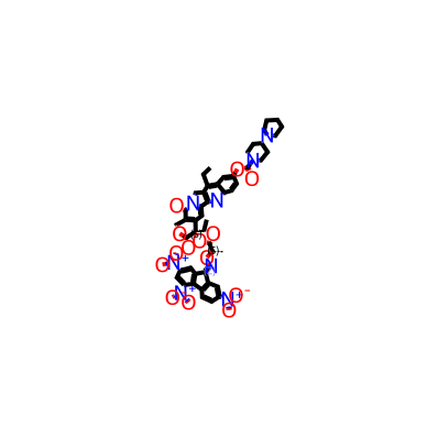 CCc1c2c(nc3ccc(OC(=O)N4CCC(N5CCCCC5)CC4)cc13)-c1cc3c(c(=O)n1C2)COC(=O)[C@@]3(CC)OC(=O)[C@H](C)O/N=C1/c2cc([N+](=O)[O-])ccc2-c2c1cc([N+](=O)[O-])cc2[N+](=O)[O-]